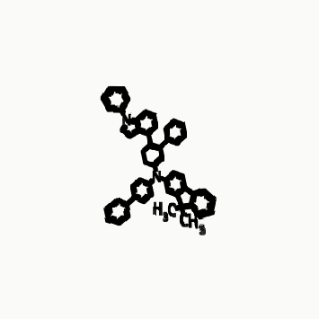 CC1(C)c2ccccc2-c2ccc(N(C3=CC(c4ccccc4)=C(c4cccc5c4ccn5-c4ccccc4)CC3)c3ccc(-c4ccccc4)cc3)cc21